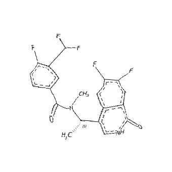 C[C@@H](c1c[nH]c(=O)c2cc(F)c(F)cc12)N(C)C(=O)c1ccc(F)c(C(F)F)c1